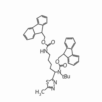 Cc1nnc(C(CCCCNC(=O)OCC2c3ccccc3-c3ccccc32)N(C(=O)OCC2c3ccccc3-c3ccccc32)C(C)(C)C)s1